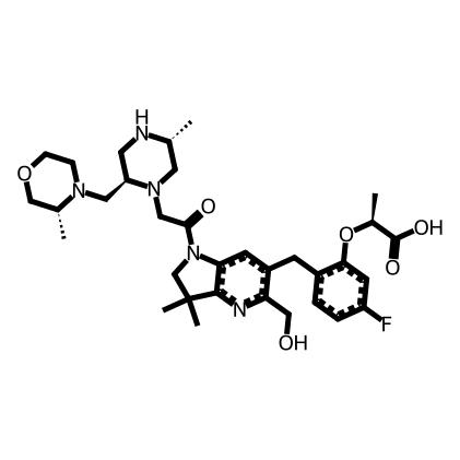 C[C@@H]1CN(CC(=O)N2CC(C)(C)c3nc(CO)c(Cc4ccc(F)cc4O[C@@H](C)C(=O)O)cc32)[C@@H](CN2CCOC[C@H]2C)CN1